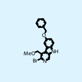 COCc1c(Br)ncc2[nH]c3ccc(OCc4ccccc4)cc3c12